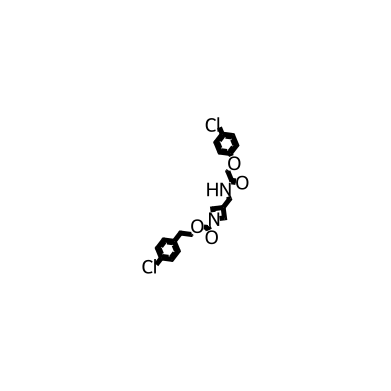 O=C(COc1ccc(Cl)cc1)NCC1CN(C(=O)OCCc2ccc(Cl)cc2)C1